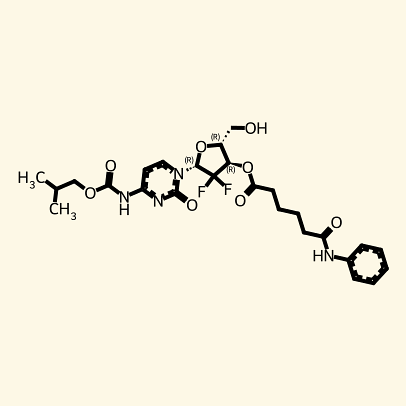 CC(C)COC(=O)Nc1ccn([C@@H]2O[C@H](CO)[C@@H](OC(=O)CCCCC(=O)Nc3ccccc3)C2(F)F)c(=O)n1